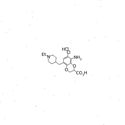 CCN1CCC(Cc2cc(Cl)c(N)c3c2OCC(C(=O)O)O3)CC1.Cl